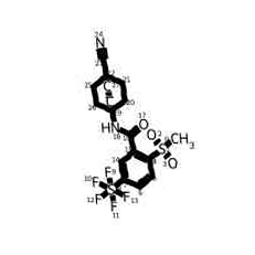 CS(=O)(=O)c1ccc(S(F)(F)(F)(F)F)cc1C(=O)NC12CCC(C#N)(CC1)CC2